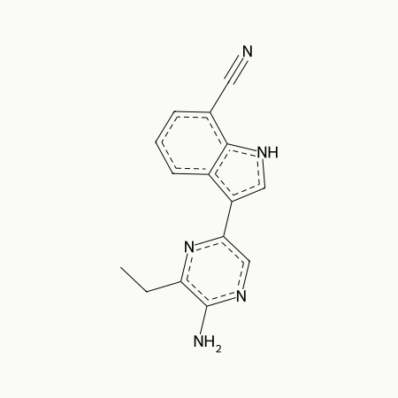 CCc1nc(-c2c[nH]c3c(C#N)cccc23)cnc1N